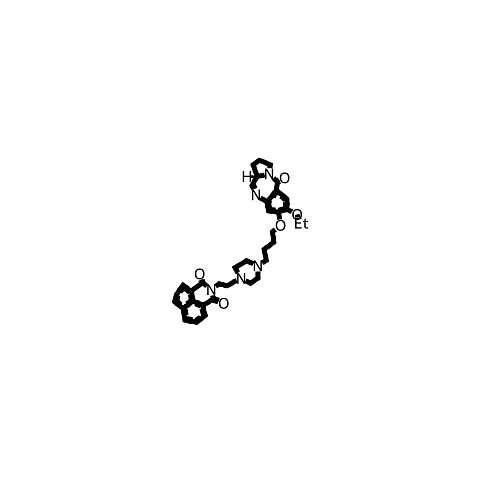 CCOc1cc2c(cc1OCCCCN1CCN(CCN3C(=O)c4cccc5cccc(c45)C3=O)CC1)N=C[C@@H]1CCCN1C2=O